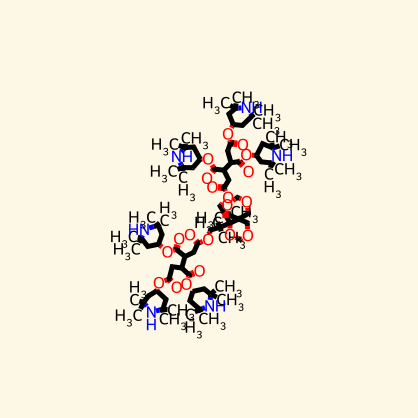 CC1(C)CC(OC(=O)CC(C(=O)OC2CC(C)(C)NC(C)(C)C2)C(CC(=O)OCC(C)(C)C2(C(C)(C)COC(=O)CC(C(=O)OC3CC(C)(C)NC(C)(C)C3)C(CC(=O)OC3CC(C)(C)NC(C)(C)C3)C(=O)OC3CC(C)(C)NC(C)(C)C3)OCOCC23COCOC3)C(=O)OC2CC(C)(C)NC(C)(C)C2)CC(C)(C)N1